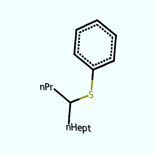 CCCCCCCC(CCC)Sc1ccccc1